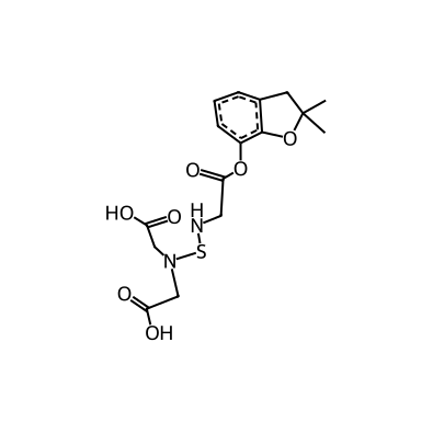 CC1(C)Cc2cccc(OC(=O)CNSN(CC(=O)O)CC(=O)O)c2O1